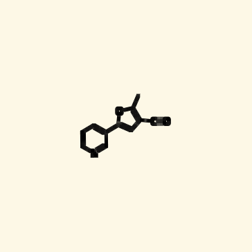 Cc1oc(-c2cccnc2)cc1C=O